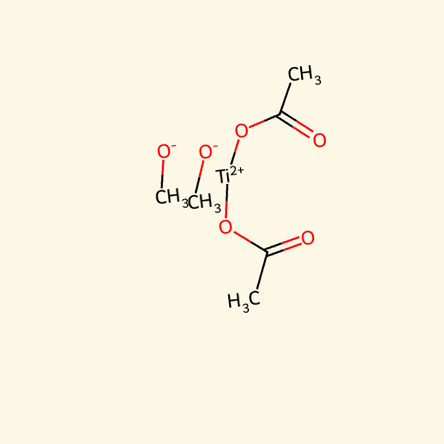 CC(=O)[O][Ti+2][O]C(C)=O.C[O-].C[O-]